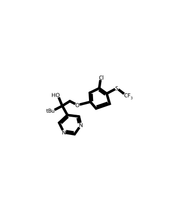 CC(C)(C)C(O)(COc1ccc(SC(F)(F)F)c(Cl)c1)c1cncnc1